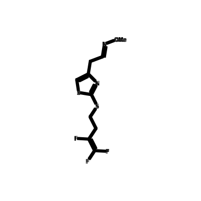 CO/N=C/Cc1csc(SCCC(F)=C(F)F)n1